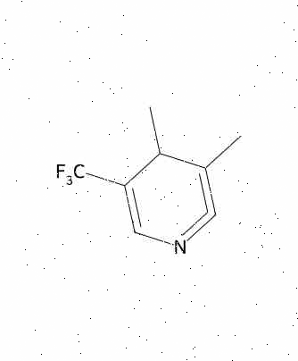 CC1=C=NC=C(C(F)(F)F)C1C